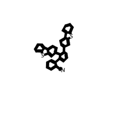 N#Cc1ccccc1-c1cccc(-c2ccc3c(c2)sc2ccccc23)c1-c1ccc2c(c1)sc1ccccc12